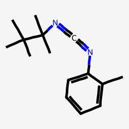 Cc1ccccc1N=C=NC(C)(C)C(C)(C)C